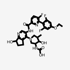 CCOc1cc(F)c(-c2nc(C(=O)Nc3cnc4c(c3N3CC(C)C(O)C(NC(=O)O)C3)CCC4O)ccc2F)c(F)c1